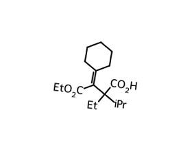 CCOC(=O)C(=C1CCCCC1)C(CC)(C(=O)O)C(C)C